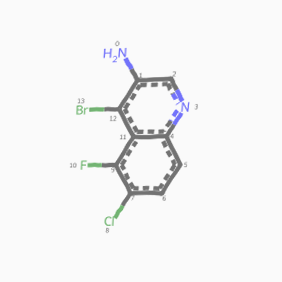 Nc1cnc2ccc(Cl)c(F)c2c1Br